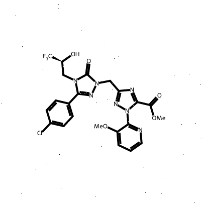 COC(=O)c1nc(Cn2nc(-c3ccc(Cl)cc3)n(C[C@H](O)C(F)(F)F)c2=O)nn1-c1ncccc1OC